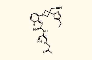 CCc1cnn(C2(CC#N)CN(c3ccc[nH]/c3=N\C(=N)N/C(C=N)=C/NCC(C)=O)C2)c1